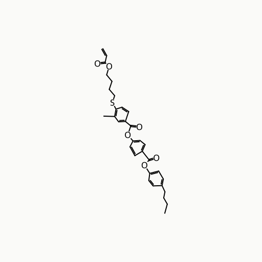 C=CC(=O)OCCCCSc1ccc(C(=O)Oc2ccc(C(=O)Oc3ccc(CCCC)cc3)cc2)cc1C